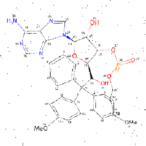 COc1ccc(C(c2ccccc2)(c2ccc(OC)cc2)C(O)[C@H]2O[C@@H](n3cnc4c(N)ncnc43)[C@H](O)[C@@H]2O[PH](=O)OCCC#N)cc1